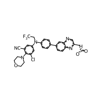 N#Cc1cc(N(CC(F)(F)F)c2ccc(-c3ccc4nc(C[SH](=O)=O)cnc4c3)cc2)cc(Cl)c1N1CCOCC1